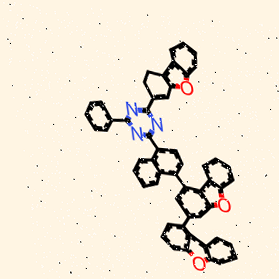 C1=C(c2nc(-c3ccccc3)nc(-c3ccc(-c4cc(-c5cccc6oc7ccccc7c56)cc5oc6ccccc6c45)c4ccccc34)n2)CCc2c1oc1ccccc21